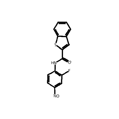 O=Nc1ccc(NC(=O)c2cc3ccccc3s2)c(F)c1